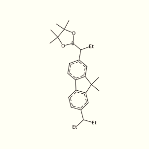 CCC(CC)c1ccc2c(c1)C(C)(C)c1cc(C(CC)B3OC(C)(C)C(C)(C)O3)ccc1-2